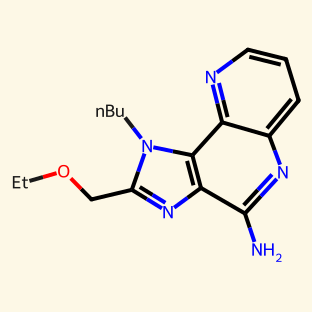 [CH2]CCCn1c(COCC)nc2c(N)nc3cccnc3c21